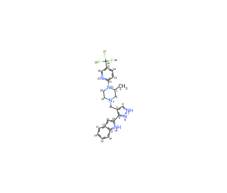 CC1CN(Cc2c[nH]nc2-c2cc3ccccc3[nH]2)CCN1c1ccc(C(F)(F)F)cn1